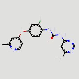 Cc1cc(Oc2ccc(NC(=O)Nc3cc(C(F)(F)F)ncn3)c(F)c2)ccn1